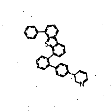 C1=CC(c2ccc(-c3ccccc3-c3cccc4c3sc3c(-c5ccccc5)cccc34)cc2)CN=C1